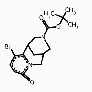 CC(C)(C)OC(=O)N1CC2CC(C1)c1c(Br)ccc(=O)n1C2